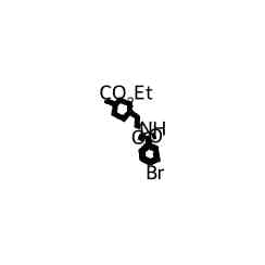 CCOC(=O)CC1CCC(CCNS(=O)(=O)c2ccc(Br)cc2)CC1